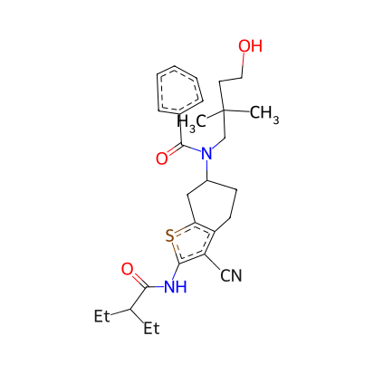 CCC(CC)C(=O)Nc1sc2c(c1C#N)CCC(N(CC(C)(C)CCO)C(=O)c1ccccc1)C2